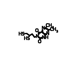 Cc1nc2[nH]c(=O)n(CCC(S)CS)c(=O)c2nc1C